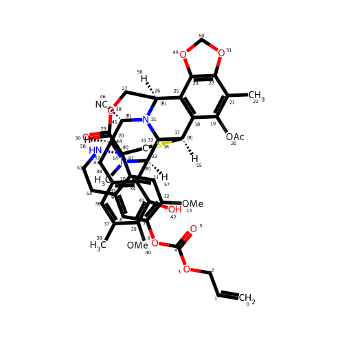 C=CCOC(=O)Oc1cc2c(cc1OC)[C@@]1(CS[C@@H]3c4c(OC(C)=O)c(C)c5c(c4[C@H](COC1=O)N1C3[C@H]3c4c(cc(C)c(OC)c4O)C[C@@H]([C@@H]1C#N)N3C)OCO5)NCC2